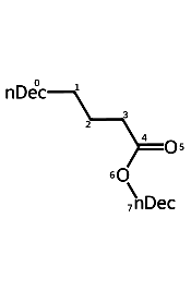 CCCCCCCCCCCCCC(=O)OCCCCCCCCCC